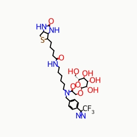 O=C(CCCCC1SCC2NC(=O)NC21)NCCCCCCN(Cc1ccc(C2(C(F)(F)F)N=N2)cc1)C(=O)CO[C@H]1O[C@H](CO)[C@@H](O)[C@H](O)[C@@H]1O